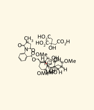 CCN1C[C@]2(COC(=O)c3ccccc3N3C(=O)C[C@H](C)C3=O)CC[C@H](OC)[C@]34C1[C@](O)([C@@H](OC)[C@H]23)[C@@]1(O)C[C@H](OC)[C@H]2C[C@@H]4[C@@H]1[C@H]2OC.O=C(O)CC(O)(CC(=O)O)C(=O)O